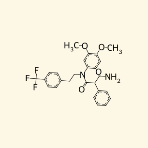 COc1ccc(N(CCc2ccc(C(F)(F)F)cc2)C(=O)C(C(N)=O)c2ccccc2)cc1OC